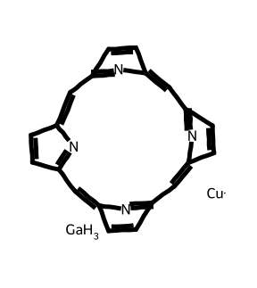 C1=CC2=NC1=CC1=NC(=CC3=NC(=CC4=NC(=C2)C=C4)C=C3)C=C1.[Cu].[GaH3]